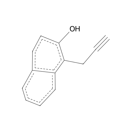 C#CCc1c(O)ccc2ccccc12